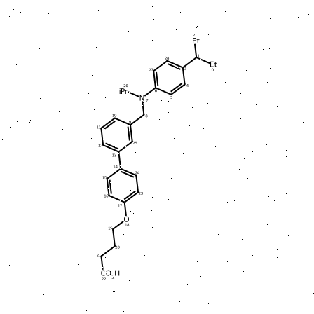 CCC(CC)c1ccc(N(Cc2cccc(-c3ccc(OCCCC(=O)O)cc3)c2)C(C)C)cc1